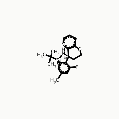 Cc1ccc([C@@]2(N[S@@+]([O-])C(C)(C)C)CCOc3cccnc32)c(F)c1